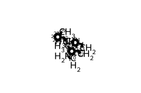 C=CN.C=Cc1ccc(C)cc1.C=Cc1cccc(C)c1.C=Cc1ccccc1C